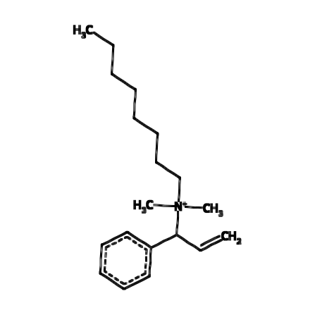 C=CC(c1ccccc1)[N+](C)(C)CCCCCCCC